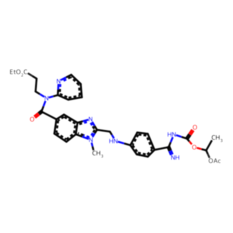 CCOC(=O)CCN(C(=O)c1ccc2c(c1)nc(CNc1ccc(C(=N)NC(=O)OC(C)OC(C)=O)cc1)n2C)c1ccccn1